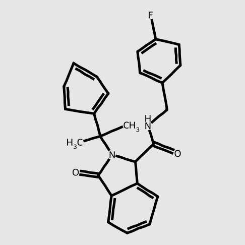 CC(C)(c1ccccc1)N1C(=O)c2ccccc2C1C(=O)NCc1ccc(F)cc1